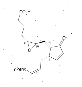 CCCCC/C=C\C[C@H]1C=CC(=O)/C1=C/[C@H]1O[C@@H]1CCCC(=O)O